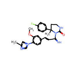 COc1cc(/C=C/C(=N)N2C(=O)NCCC2(C)c2ccc(F)cc2)ccc1-n1cnc(C)c1